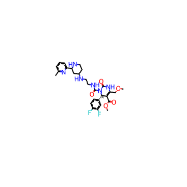 COCC1=C(C(=O)OC)[C@H](c2ccc(F)c(F)c2)N(C(=O)NCCNC2CCNC(c3cccc(C)n3)C2)C(=O)N1